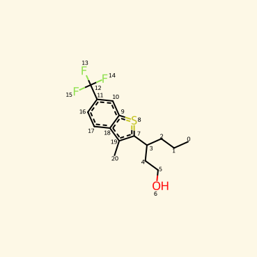 CCCC(CCO)c1sc2cc(C(F)(F)F)ccc2c1C